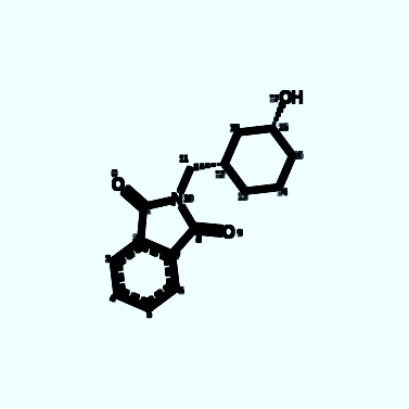 O=C1c2ccccc2C(=O)N1C[C@H]1CCC[C@@H](O)C1